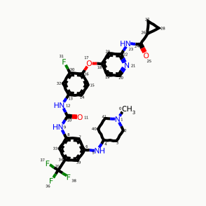 CN1CCC(Nc2cc(NC(=O)Nc3ccc(Oc4ccnc(NC(=O)C5CC5)c4)c(F)c3)cc(C(F)(F)F)c2)CC1